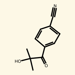 CC(C)(O)C(=O)c1ccc(C#N)cc1